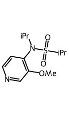 COc1cnccc1N(C(C)C)S(=O)(=O)C(C)C